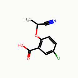 CC(C#N)Oc1ccc(Cl)cc1C(=O)O